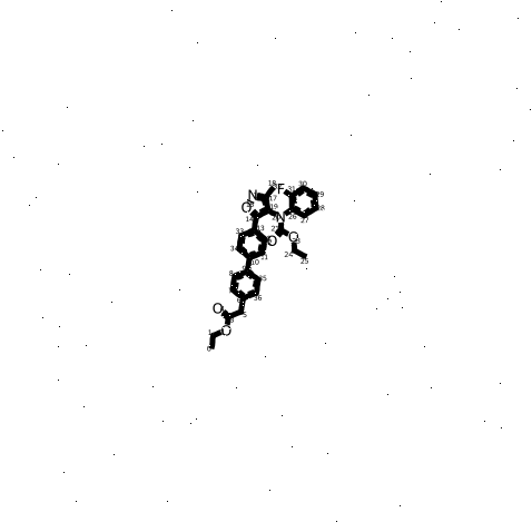 CCOC(=O)Cc1ccc(-c2ccc(-c3onc(C)c3N(C(=O)OCC)c3ccccc3F)cc2)cc1